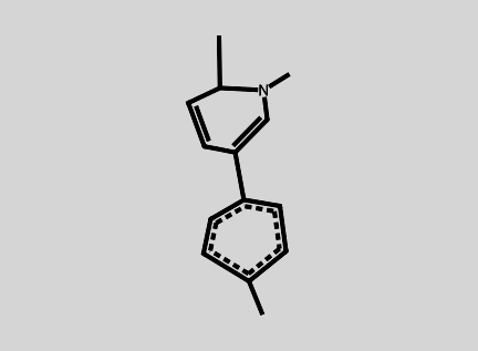 Cc1ccc(C2=CN(C)C(C)C=C2)cc1